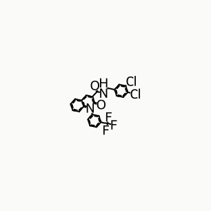 O=C(NCc1ccc(Cl)c(Cl)c1)c1cc2ccccc2n(-c2cccc(C(F)(F)F)c2)c1=O